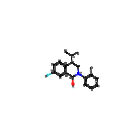 Cc1ccccc1N1CC(C(C)C)c2ccc(F)cc2C1=O